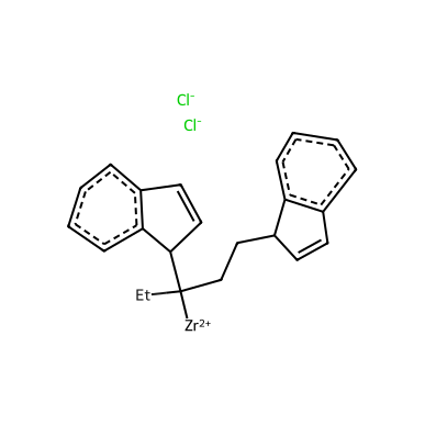 CC[C]([Zr+2])(CCC1C=Cc2ccccc21)C1C=Cc2ccccc21.[Cl-].[Cl-]